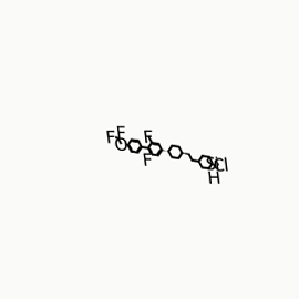 Fc1cc([C@H]2CC[C@H](CCC3CC[SiH](Cl)CC3)CC2)cc(F)c1-c1ccc(OC(F)F)cc1